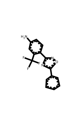 Nc1ccc(-c2noc(-c3ccccc3)n2)c(C(F)(F)F)c1